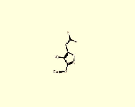 CCCC(C)Oc1nsc(SC(F)F)c1C#N